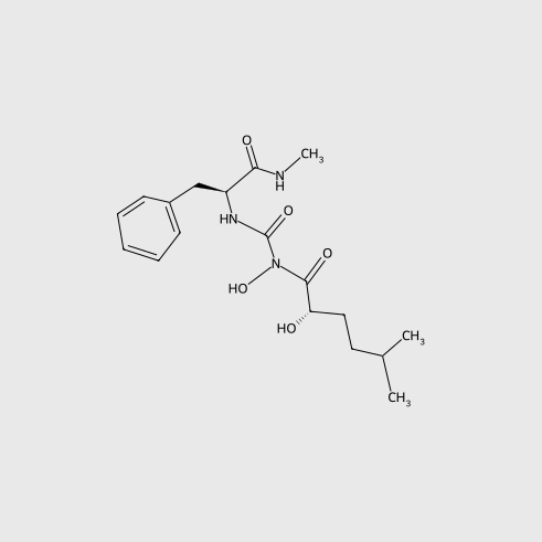 CNC(=O)[C@H](Cc1ccccc1)NC(=O)N(O)C(=O)[C@@H](O)CCC(C)C